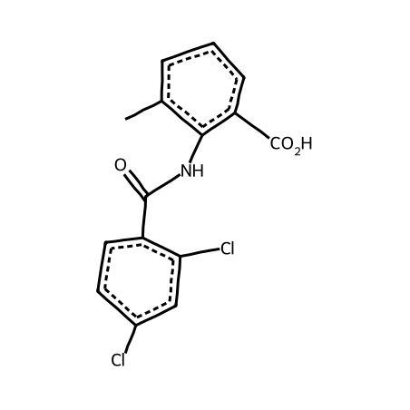 Cc1cccc(C(=O)O)c1NC(=O)c1ccc(Cl)cc1Cl